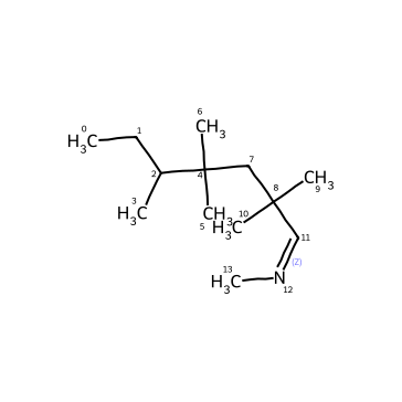 CCC(C)C(C)(C)CC(C)(C)/C=N\C